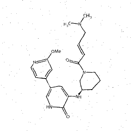 COc1cc(-c2c[nH]c(=O)c(N[C@@H]3CCCN(C(=O)C=CCN(C)C)C3)c2)ccn1